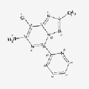 Cc1nc2c(Cl)c(N)nc(-c3ccccn3)n2n1